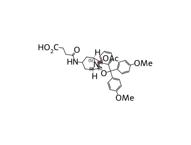 COc1ccc(C(O[C@H]2[C@@H](OC(C)=O)[C@@H]3CC(NC(=O)CCC(=O)O)C[C@H]2[N+]3(C)C)(c2ccccc2)c2ccc(OC)cc2)cc1